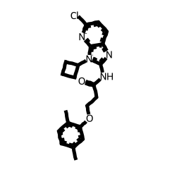 Cc1ccc(C)c(OCCC(=O)Nc2nc3ccc(Cl)nc3n2C2CCC2)c1